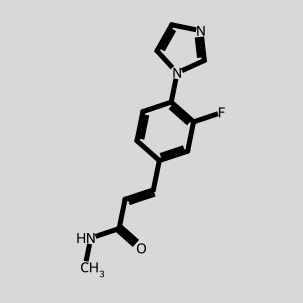 CNC(=O)/C=C/c1ccc(-n2ccnc2)c(F)c1